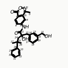 Cc1noc(=O)c2ccc(NC(=O)C(O)(Cc3cccc(CO)c3)CC(C)(C)c3ccccc3)cc12